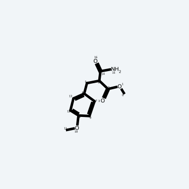 COC(=O)C(Cc1ccc(OC)cc1)C(N)=O